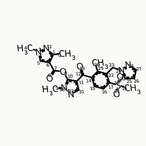 Cc1nn(C)cc1C(=O)Oc1c(C(=O)c2ccc(S(C)(=O)=O)c(Cn3cccn3)c2C)cnn1C